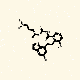 CCN(CC)CCCC(C)NC(=N)NC(=O)c1cccc(Cl)c1CCc1cc(Br)cc2ccoc12